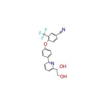 N#Cc1ccc(Oc2ccc(-c3cccc([C@H](O)CO)n3)cc2)c(C(F)(F)F)c1